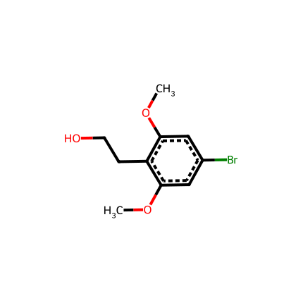 COc1cc(Br)cc(OC)c1CCO